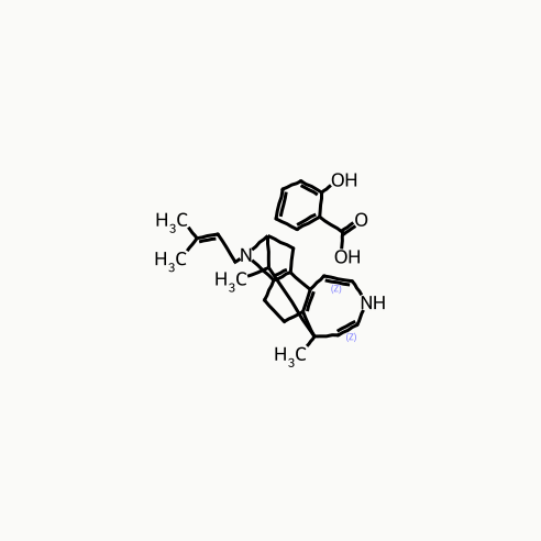 CC(C)=CCN1C2=C3CC1C(C)C1(C)/C=C\N/C=C\C3=C1CC2.O=C(O)c1ccccc1O